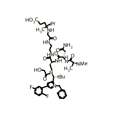 CN[C@@H](C)C(=O)N[C@@H](CC(N)=O)C(=O)N[C@@H](CCN(C(=O)CO)[C@@H](c1cc(-c2cc(F)ccc2F)cn1Cc1ccccc1)C(C)(C)C)C(=O)NCCNC(=O)CNC(C)(CCC(=O)O)C(C)C